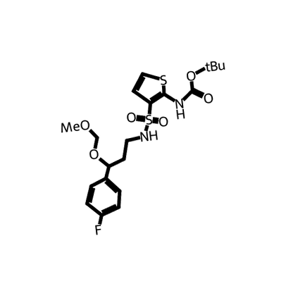 COCOC(CCNS(=O)(=O)c1ccsc1NC(=O)OC(C)(C)C)c1ccc(F)cc1